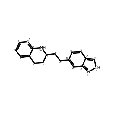 c1cnc2c(c1)CCC(CCc1ccc3c[nH]nc3c1)N2